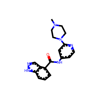 CN1CCN(c2cc(NC(=O)c3cccc4[nH]ncc34)ccn2)CC1